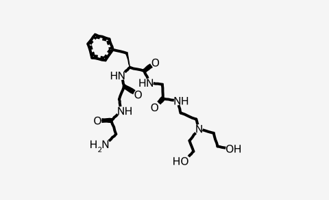 NCC(=O)NCC(=O)N[C@@H](Cc1ccccc1)C(=O)NCC(=O)NCCN(CCO)CCO